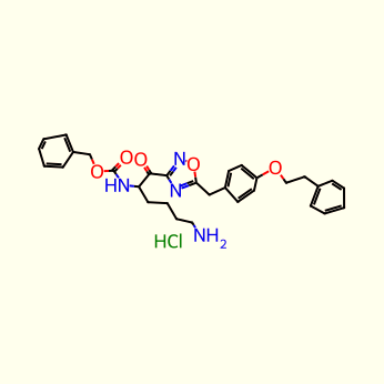 Cl.NCCCCC(NC(=O)OCc1ccccc1)C(=O)c1noc(Cc2ccc(OCCc3ccccc3)cc2)n1